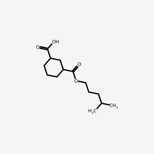 CC(C)CCCOC(=O)C1CCCC(C(=O)O)C1